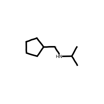 CC(C)N[CH]C1CCCC1